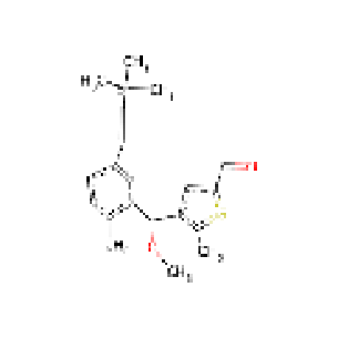 COC(c1cc(C#C[Si](C)(C)C)ccc1C)c1cc(C=O)sc1C